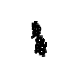 Cc1cc2c(cc1-c1ccc(NC(=O)c3c(F)cccc3F)nc1)OCC(F)(F)O2